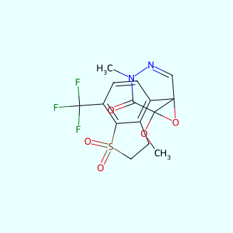 COC12OC1(c1ccc(C(F)(F)F)c3c1CCS3(=O)=O)C=NN(C)C2=O